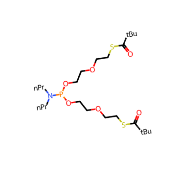 CCCN(CCC)P(OCCOCCSC(=O)C(C)(C)C)OCCOCCSC(=O)C(C)(C)C